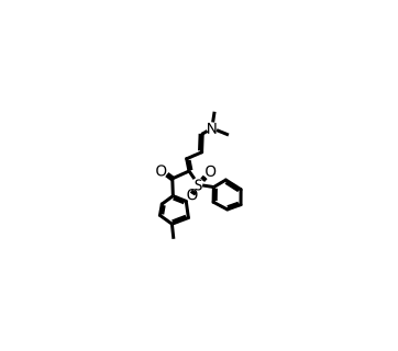 Cc1ccc(C(=O)C(=CC=CN(C)C)S(=O)(=O)c2ccccc2)cc1